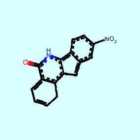 O=c1[nH]c2c(c3c1=CC=CC3)C=c1cc([N+](=O)[O-])ccc1=2